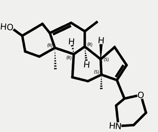 CC1C=C2CC(O)CC[C@]2(C)[C@@H]2CC[C@]3(C)C(C4CNCCO4)=CC[C@H]3[C@H]12